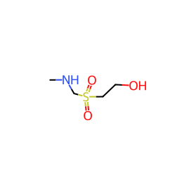 CNCS(=O)(=O)CCO